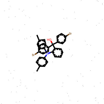 Cc1ccc(N(c2ccc(C)cc2)c2ccccc2C(O)(c2ccc(Br)cc2)c2ccc(Br)cc2)cc1